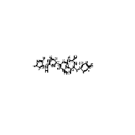 CN1C(=O)NC(Cc2ccc(F)cc2)c2nnc3cc(-c4ccnc(Nc5ccnn5C)n4)cc1n23